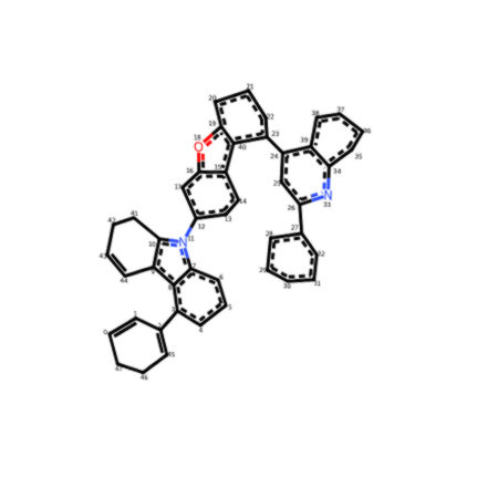 C1=CC(c2cccc3c2c2c(n3-c3ccc4c(c3)oc3cccc(-c5cc(-c6ccccc6)nc6ccccc56)c34)CCC=C2)=CCC1